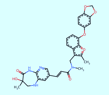 Cc1oc2c(Oc3ccc4c(c3)OCO4)cccc2c1CN(C)C(=O)/C=C/c1cnc2c(c1)NCC(C)(O)C(=O)N2